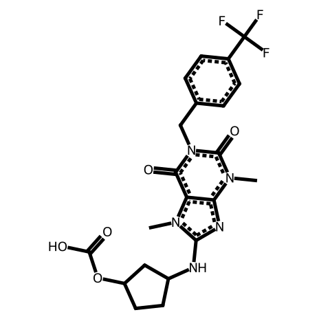 Cn1c(NC2CCC(OC(=O)O)C2)nc2c1c(=O)n(Cc1ccc(C(F)(F)F)cc1)c(=O)n2C